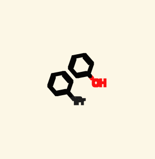 CC(C)c1ccccc1.Oc1ccccc1